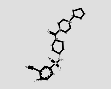 N#Cc1cc(S(=O)(=O)N[C@H]2CC[C@H](C(=O)N3CCN(C4CCCC4)CC3)CC2)ccc1F